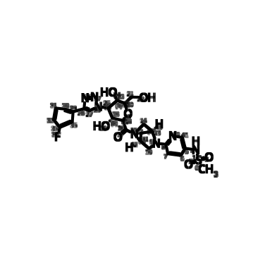 CS(=O)(=O)Nc1ccc(N2C[C@@H]3C[C@H]2CN3C(=O)[C@@H]2O[C@H](CO)[C@H](O)[C@H](n3cc(-c4cccc(F)c4)nn3)[C@H]2O)nc1